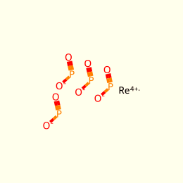 O=P[O-].O=P[O-].O=P[O-].O=P[O-].[Re+4]